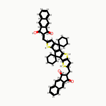 O=C1C(=Cc2cc3c(s2)C2=C(c4sc5cc(CC6C(=O)c7cc8ccccc8cc7C6=O)sc5c4C24CCCCC4)C32CCCCC2)C(=O)c2cc3ccccc3cc21